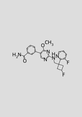 COc1nc(NCC2(c3ncccc3F)CC(F)C2)ncc1-c1cccc(C(N)=O)c1